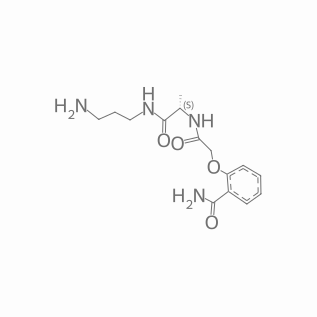 C[C@H](NC(=O)COc1ccccc1C(N)=O)C(=O)NCCCN